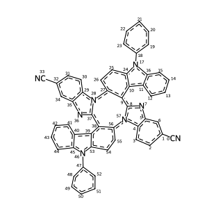 N#Cc1ccc2c(c1)nc1c3c4c5ccccc5n(-c5ccccc5)c4ccc3n3c4ccc(C#N)cc4nc3c3c4c5ccccc5n(-c5ccccc5)c4ccc3n21